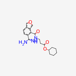 N=C(N)c1ccc2cocc2c1C(=O)NCCC(=O)OC1CCCCC1